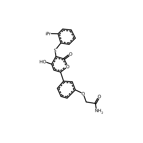 CC(C)c1ccccc1Sc1c(O)cc(-c2cccc(OCC(N)=O)c2)oc1=O